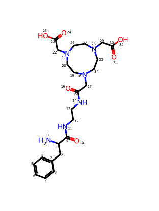 NC(Cc1ccccc1)C(=O)NCCNC(=O)CN1CCN(CC(=O)O)CCN(CC(=O)O)CC1